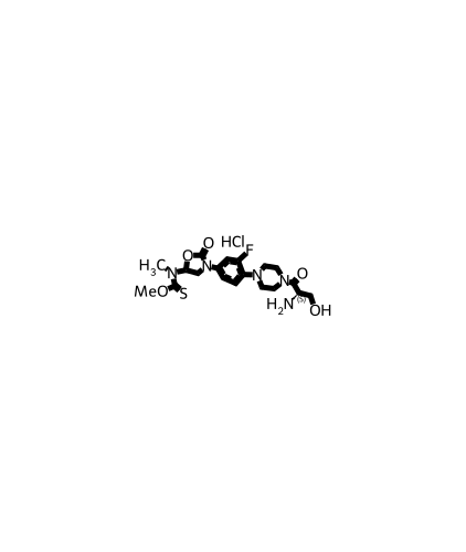 COC(=S)N(C)C1CN(c2ccc(N3CCN(C(=O)[C@@H](N)CO)CC3)c(F)c2)C(=O)O1.Cl